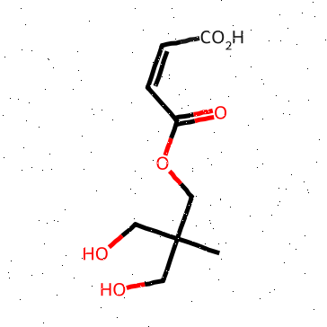 CC(CO)(CO)COC(=O)/C=C\C(=O)O